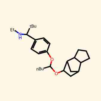 CCCCC(Oc1ccc(C(NCC)C(C)(C)C)cc1)OC1CC2CC1C1CCCC21